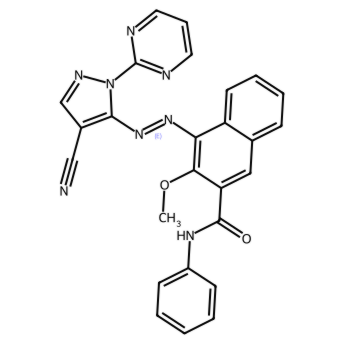 COc1c(C(=O)Nc2ccccc2)cc2ccccc2c1/N=N/c1c(C#N)cnn1-c1ncccn1